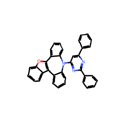 c1ccc(-c2cc(N3c4ccccc4-c4oc5ccccc5c4-c4ccccc43)nc(-c3ccccc3)n2)cc1